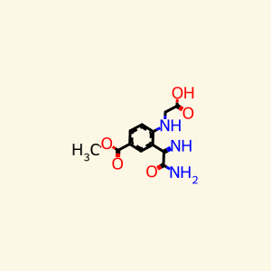 COC(=O)c1ccc(NCC(=O)O)c(C(=N)C(N)=O)c1